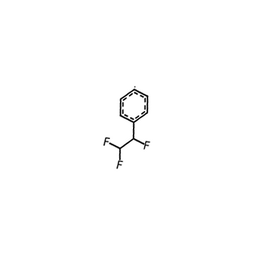 FC(F)C(F)c1cc[c]cc1